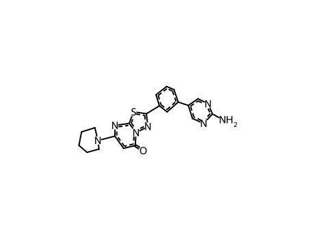 Nc1ncc(-c2cccc(-c3nn4c(=O)cc(N5CCCCC5)nc4s3)c2)cn1